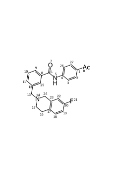 CC(=O)c1ccc(NC(=O)c2cccc(CN3CCc4ccc(F)cc4C3)c2)cc1